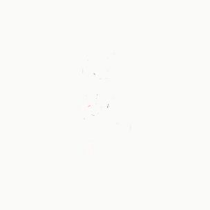 CC(=O)O[C@]1(C(C)=O)CC[C@H]2[C@@H]3C[C@H](C)C4=CC(=O)C=C[C@]4(C)[C@@]34O[C@H]4C[C@@]21C